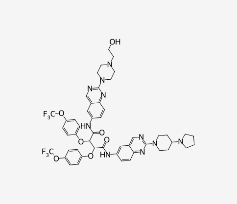 O=C(Nc1ccc2nc(N3CCC(N4CCCC4)CC3)ncc2c1)C(Oc1ccc(OC(F)(F)F)cc1)C(Oc1ccc(OC(F)(F)F)cc1)C(=O)Nc1ccc2nc(N3CCN(CCO)CC3)ncc2c1